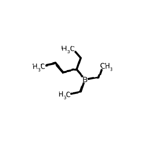 CCCC(CC)B(CC)CC